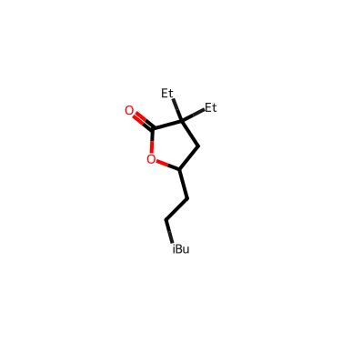 CCC(C)CCC1CC(CC)(CC)C(=O)O1